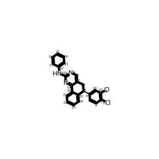 Clc1ccc([C@@H]2Cc3cnc(Nc4ccccc4)nc3-c3ccccc32)cc1Cl